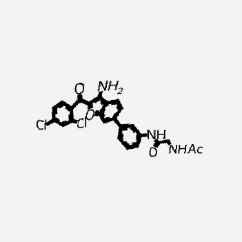 CC(=O)NCC(=O)Nc1cccc(-c2ccc3c(N)c(C(=O)c4ccc(Cl)cc4Cl)oc3c2)c1